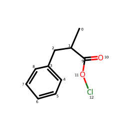 CC(Cc1ccccc1)C(=O)OCl